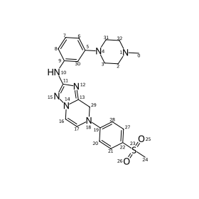 CN1CCN(c2cccc(Nc3nc4n(n3)C=CN(c3ccc(S(C)(=O)=O)cc3)C4)c2)CC1